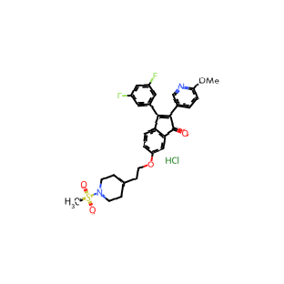 COc1ccc(C2=C(c3cc(F)cc(F)c3)c3ccc(OCCC4CCN(S(C)(=O)=O)CC4)cc3C2=O)cn1.Cl